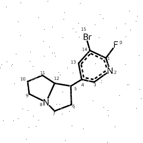 Fc1ncc(C2CCN3CCCC23)cc1Br